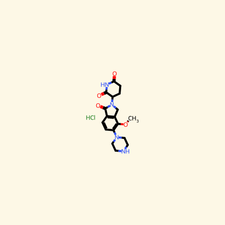 COc1c(N2CCNCC2)ccc2c1CN(C1CCC(=O)NC1=O)C2=O.Cl